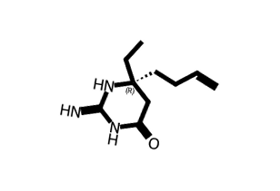 C=CCC[C@]1(CC)CC(=O)NC(=N)N1